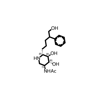 CC(=O)N[C@H]1CN[C@H](CCCC(CO)c2ccccc2)[C@@H](O)[C@@H]1O